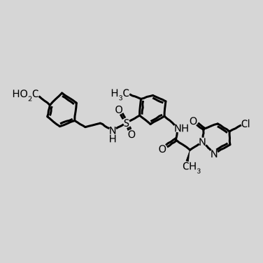 Cc1ccc(NC(=O)[C@H](C)n2ncc(Cl)cc2=O)cc1S(=O)(=O)NCCc1ccc(C(=O)O)cc1